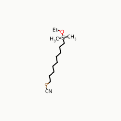 CCO[Si](C)(C)CCCCCCCCCSC#N